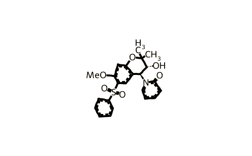 COc1cc2c(cc1S(=O)(=O)c1ccccc1)[C@H](n1ccccc1=O)[C@@H](O)C(C)(C)O2